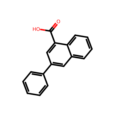 O=C(O)c1cc(-c2ccccc2)cc2ccccc12